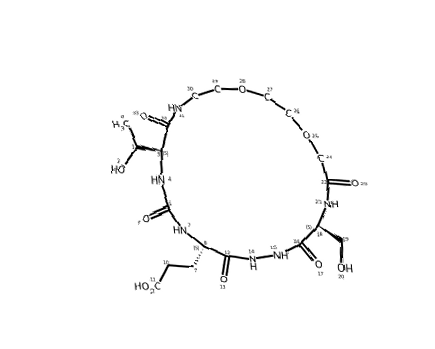 CC(O)[C@@H]1NC(=O)N[C@@H](CCC(=O)O)C(=O)NNC(=O)[C@H](CO)NC(=O)COCCOCCNC1=O